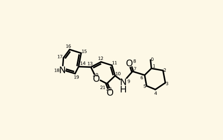 CC1CCCCC1C(=O)Nc1ccc(-c2cccnc2)oc1=O